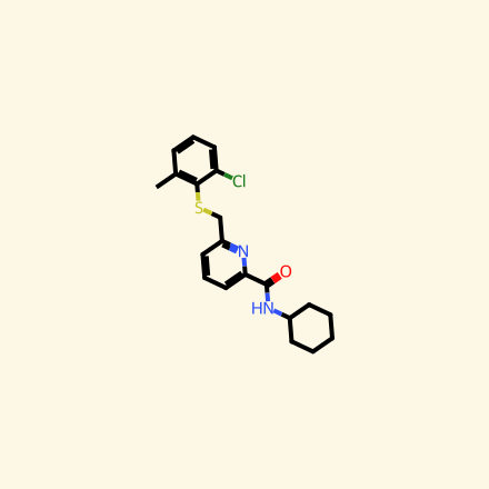 Cc1cccc(Cl)c1SCc1cccc(C(=O)NC2CCCCC2)n1